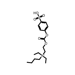 CCCC[N+](CC)(CC)CCOC(=O)Oc1ccc(S(=O)(=O)O)cc1